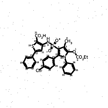 CCOC(=O)Oc1c(C)c(S(=O)(=O)Nc2cc(-c3ccccc3)sc2C(=O)O)c(-c2ccc(Cl)cc2)n1-c1ccccc1